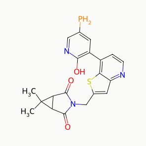 CC1(C)C2C(=O)N(Cc3cc4nccc(-c5cc(P)cnc5O)c4s3)C(=O)C21